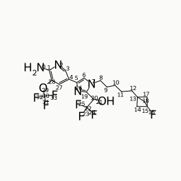 Nc1ncc(-c2cn(CCCCCC34CC(F)(C3)C4)c(C(O)C(F)(F)F)n2)cc1OC(F)(F)F